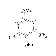 CCC(C)c1c(Cl)nc(SC)nc1C(F)(F)F